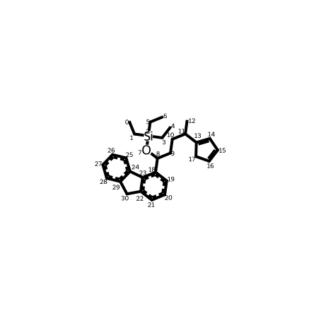 CC[Si](CC)(CC)OC(CCC(C)C1=CC=CC1)c1cccc2c1-c1ccccc1C2